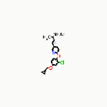 CC(=O)N[C@@H](C)/C=C/c1ccc(Oc2ccc(OCC3CC3)cc2Cl)nc1